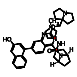 CN1CC[C@@H](NC(=O)N2[C@@H]3CC[C@H]2CN(c2nc(OCC45CCCN4CCC5)nc4cc(-c5cc(O)cc6ccccc56)ccc24)C3)C1